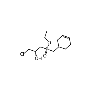 CCOP(=O)(CC1CC=CCC1)C[C@@H](O)CCl